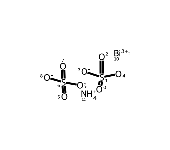 O=S(=O)([O-])[O-].O=S(=O)([O-])[O-].[Bi+3].[NH4+]